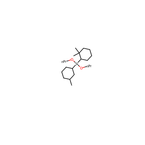 CCCO[Si](OCCC)(C1CCCC(C)C1)C1CCCCC1(C)C